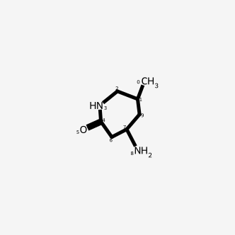 CC1CNC(=O)CC(N)C1